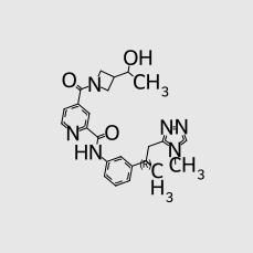 CC(O)C1CN(C(=O)c2ccnc(C(=O)Nc3cccc([C@H](C)Cc4nncn4C)c3)c2)C1